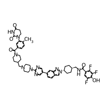 Cc1ccc(C(=O)N2CCC(CN3CCN(c4ncc(-c5ccc6cn([C@H]7CC[C@H](CNC(=O)c8cc(F)c(O)c(F)c8F)CC7)nc6c5)cn4)CC3)CC2)cc1N1CCC(=O)NC1=O